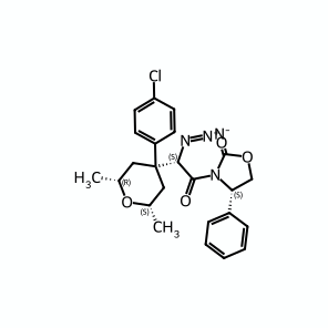 C[C@@H]1CC(c2ccc(Cl)cc2)([C@H](N=[N+]=[N-])C(=O)N2C(=O)OC[C@@H]2c2ccccc2)C[C@H](C)O1